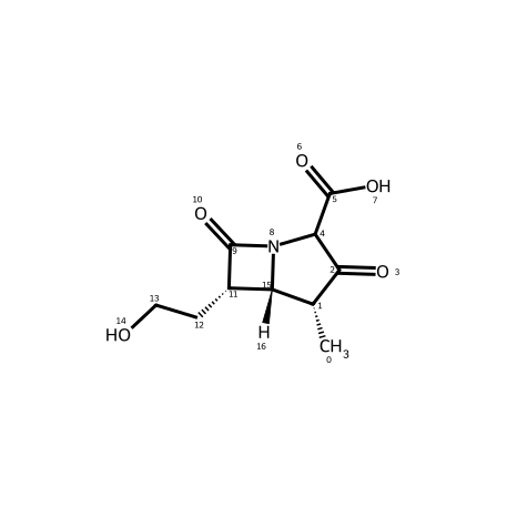 C[C@H]1C(=O)C(C(=O)O)N2C(=O)[C@@H](CCO)[C@@H]12